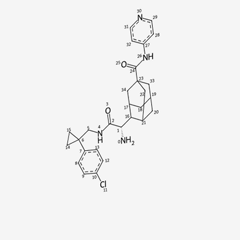 N[C@H](C(=O)NCC1(c2ccc(Cl)cc2)CC1)C1C2CC3CC1CC(C(=O)Nc1ccncc1)(C3)C2